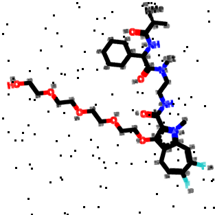 CCN(CCNC(=O)c1c(OCCOCCOCCOCCO)c2c(n1C)C=C(F)C(F)=CC2)C(=O)C(NC(=O)[C@H](C)NC)C1CCCCC1